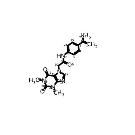 C=C(N)c1ccc(NC(=O)Cn2cnc3c2c(=O)n(C)c(=O)n3C)cc1